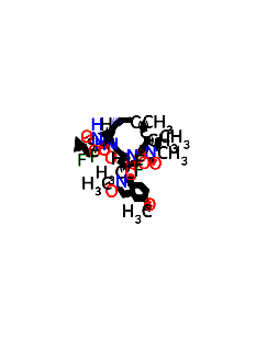 CCC(C)N(C(=O)O)[C@@H]1C(=O)N2[C@@H](C[C@@](C)(Oc3nc(OC)cc4cc(OC)ccc34)C2(F)F)C(=O)N[C@]2(C(=O)NS(=O)(=O)C3(C(F)F)CC3)C[C@H]2/C=C\CC[C@@H](C)C[C@H]1C